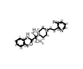 CC(C)(C(=O)Nc1ccccc1F)N1CCN(CCc2ncccc2F)CC1